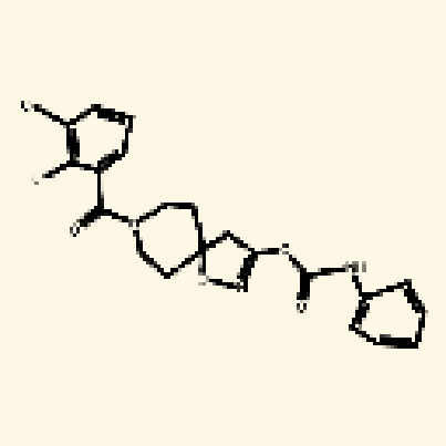 O=C(Nc1ccccc1)OC1=NOC2(CCN(C(=O)c3cccc(Cl)c3Cl)CC2)C1